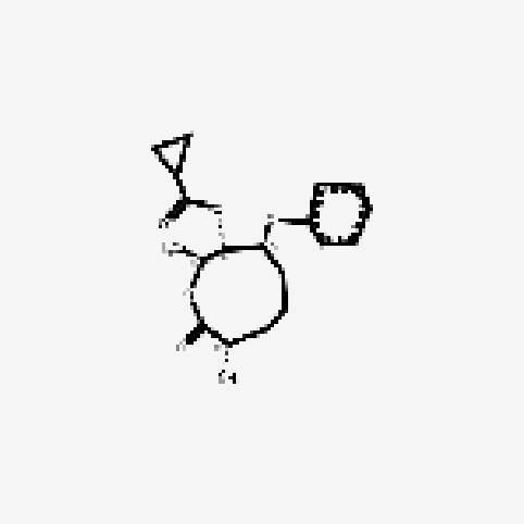 C[C@@H]1OC(=O)[C@@H](N)CCC[C@H](Oc2ccccc2)[C@H]1OC(=O)C1CC1